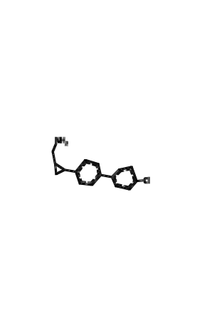 NCC1CC1c1ccc(-c2ccc(Cl)cc2)cc1